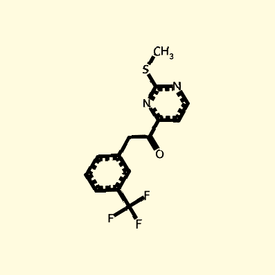 CSc1nccc(C(=O)Cc2cccc(C(F)(F)F)c2)n1